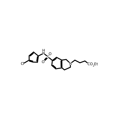 CCOC(=O)CCCN1CCc2ccc(S(=O)(=O)Nc3ccc(Cl)cc3)cc2C1